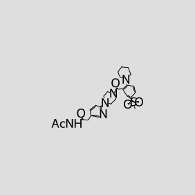 CC(=O)NC(=O)Cc1ccc(N2CCN(C(=O)c3cc(S(C)(=O)=O)ccc3N3CCCCC3)CC2)nc1